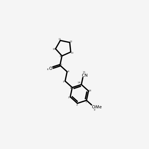 COc1ccc(CCC(=O)C2CCCC2)c(C#N)c1